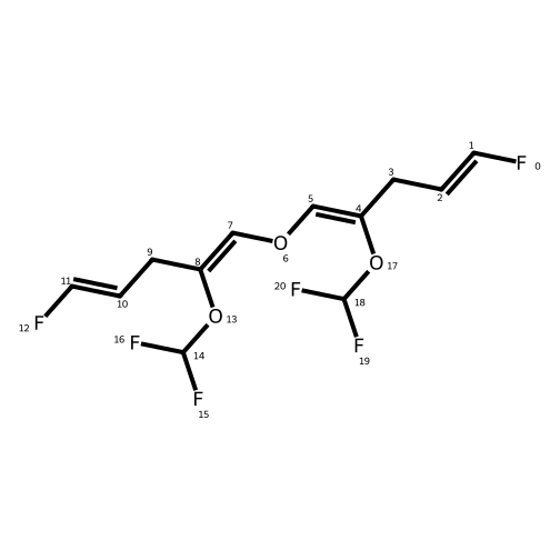 FC=CCC(=COC=C(CC=CF)OC(F)F)OC(F)F